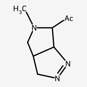 CC(=O)C1C2N=NCC2CN1C